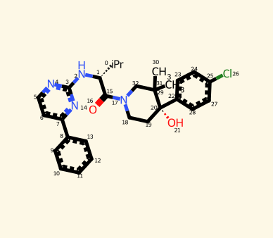 CC(C)[C@@H](Nc1nccc(-c2ccccc2)n1)C(=O)N1CC[C@](O)(c2ccc(Cl)cc2)C(C)(C)C1